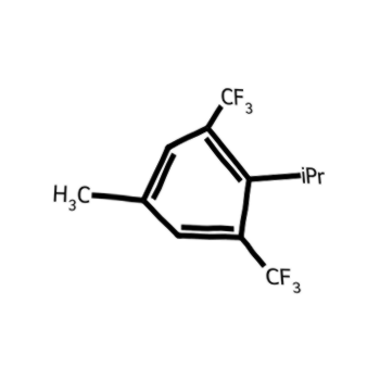 Cc1cc(C(F)(F)F)c(C(C)C)c(C(F)(F)F)c1